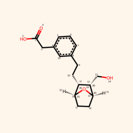 O=C(O)Cc1cccc(CC[C@@H]2[C@H](CO)[C@H]3CC[C@@H]2O3)c1